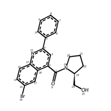 O=C(c1cc(-c2ccccc2)nc2ccc(Br)cc12)N1CCC[C@H]1CO